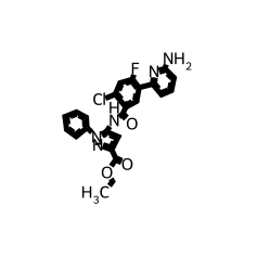 CCOC(=O)c1cc(NC(=O)c2cc(-c3cccc(N)n3)c(F)cc2Cl)n(-c2ccccc2)n1